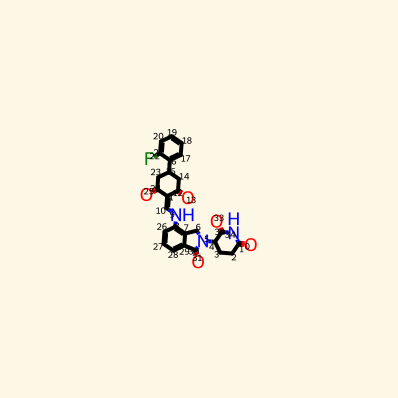 O=C1CCC(N2Cc3c(NC=C4C(=O)CC(c5ccccc5F)CC4=O)cccc3C2=O)C(=O)N1